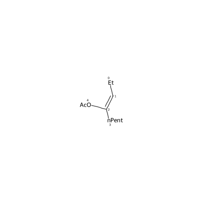 CCC=C(CCCCC)OC(C)=O